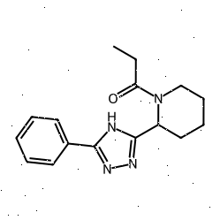 CCC(=O)N1CCCCC1c1nnc(-c2ccccc2)[nH]1